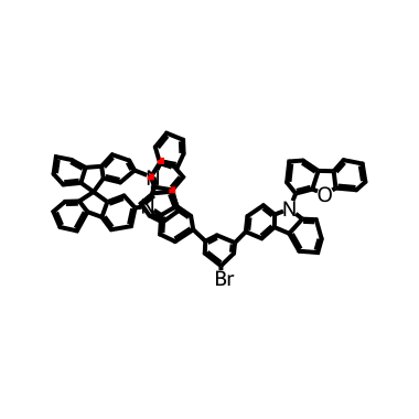 Brc1cc(-c2ccc3c(c2)c2ccccc2n3-c2ccc3c(c2)C2(c4ccccc4-c4ccc(N(c5ccccc5)c5ccccc5)cc42)c2ccccc2-3)cc(-c2ccc3c(c2)c2ccccc2n3-c2cccc3c2oc2ccccc23)c1